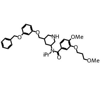 COCCCOc1cc(C(=O)N(C(C)C)C2CNCC(COc3cccc(OCc4ccccc4)c3)C2)ccc1OC